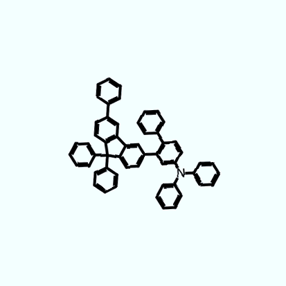 c1ccc(-c2ccc3c(c2)-c2cc(-c4cc(N(c5ccccc5)c5ccccc5)ccc4-c4ccccc4)ccc2C3(c2ccccc2)c2ccccc2)cc1